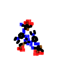 CCN(CC)c1ccc(/N=N/c2sc(C=O)c(S(=O)(=O)O)c2C#N)c(Nc2nc(Nc3cc(N(CC)CC)ccc3/N=N/c3sc(C=O)c(S(=O)(=O)O)c3C#N)nc(SCCS(=O)(=O)O)n2)c1